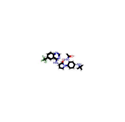 CC(=O)N[C@@H]1C[C@H](NC(C)(C)C)CCC1N1CC[C@H](Nc2ncnc3ccc(C(F)(F)F)cc23)C1=O